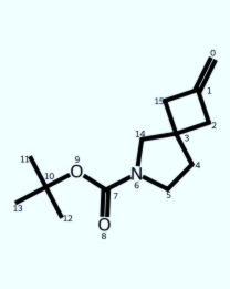 C=C1CC2(CCN(C(=O)OC(C)(C)C)C2)C1